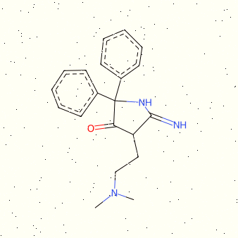 CN(C)CCC1C(=N)NC(c2ccccc2)(c2ccccc2)C1=O